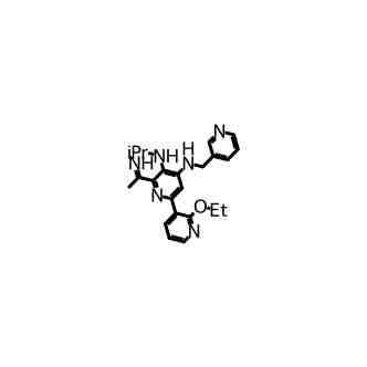 CCOc1ncccc1-c1cc(NCc2cccnc2)c(NC(C)C)c(C(C)=N)n1